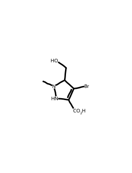 CN1NC(C(=O)O)=C(Br)C1CO